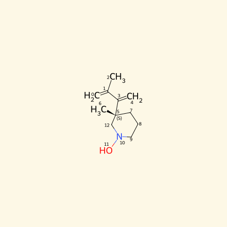 C=C(C)C(=C)[C@]1(C)CCCN(O)C1